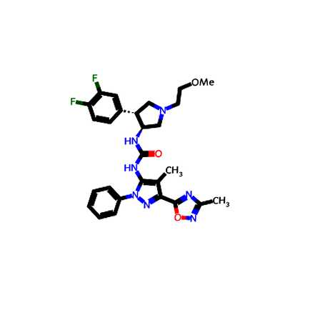 COCCN1C[C@@H](NC(=O)Nc2c(C)c(-c3nc(C)no3)nn2-c2ccccc2)[C@H](c2ccc(F)c(F)c2)C1